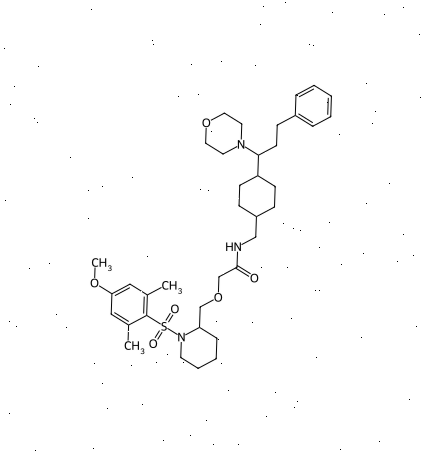 COc1cc(C)c(S(=O)(=O)N2CCCCC2COCC(=O)NCC2CCC(C(CCc3ccccc3)N3CCOCC3)CC2)c(C)c1